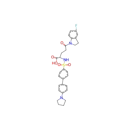 O=C(O)C(CCC(=O)N1CCc2cc(F)ccc21)NS(=O)(=O)c1ccc(-c2ccc(N3CCCC3)cc2)cc1